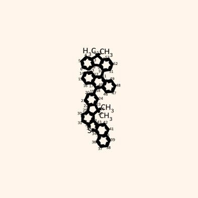 CC1(C)c2ccccc2-c2c(-c3c4ccccc4c(-c4ccc5c(c4)C(C)(C)c4c-5ccc5sc6c7ccccc7ccc6c45)c4ccccc34)cccc21